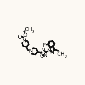 CCOC(=O)N1CCC(CN2CCC(c3nc(-n4nc(CC)c5cccc(F)c54)no3)CC2)CC1